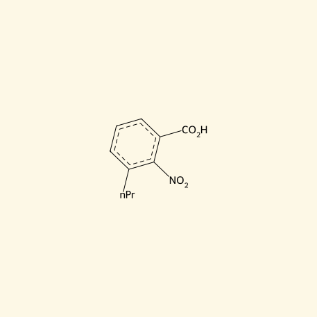 CCCc1cccc(C(=O)O)c1[N+](=O)[O-]